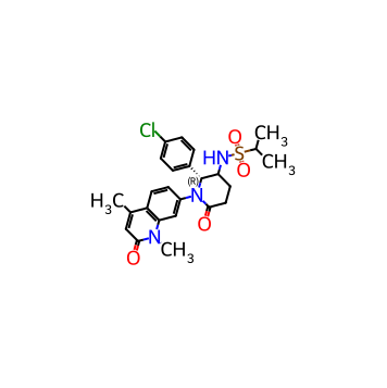 Cc1cc(=O)n(C)c2cc(N3C(=O)CCC(NS(=O)(=O)C(C)C)[C@H]3c3ccc(Cl)cc3)ccc12